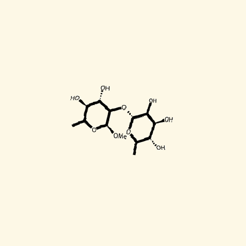 CO[C@H]1OC(C)[C@@H](O)[C@H](O)C1O[C@H]1OC(C)[C@@H](O)[C@H](O)C1O